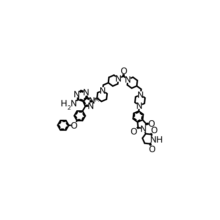 Nc1ncnc2c1c(-c1ccc(Oc3ccccc3)cc1)nn2[C@@H]1CCCN(CC2CCN(C(=O)N3CCC(CN4CCN(c5ccc6c(c5)C(=O)N(C5CCC(=O)NC5=O)C6=O)CC4)CC3)CC2)C1